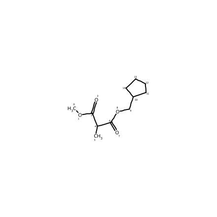 COC(=O)C(C)C(=O)OCC1CCCC1